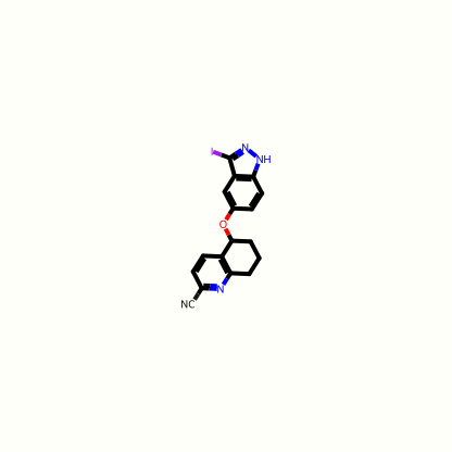 N#Cc1ccc2c(n1)CCCC2Oc1ccc2[nH]nc(I)c2c1